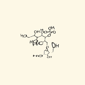 O=S(=O)(O)OC(C(O)C[S@+]1C[C@@H](O)[C@H](O)[C@H]1CO)C(O)C(O)C(O)CO